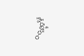 CC(C)[C@H](NC(=O)c1ccc(-c2ccccc2)cc1)c1ncc(C(=O)NO)cn1